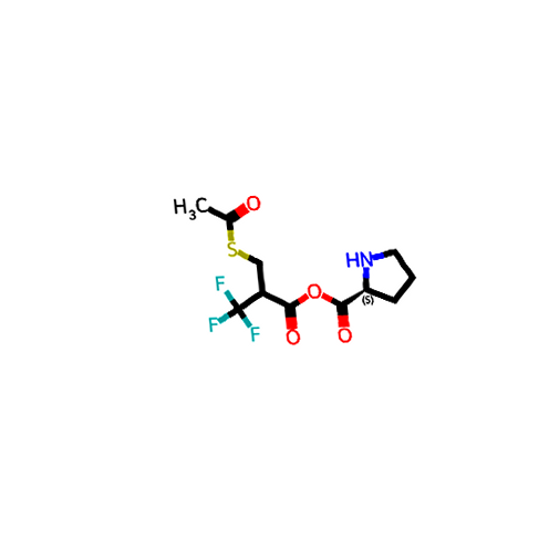 CC(=O)SCC(C(=O)OC(=O)[C@@H]1CCCN1)C(F)(F)F